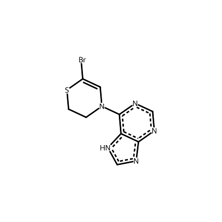 BrC1=CN(c2ncnc3nc[nH]c23)CCS1